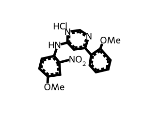 COc1ccc(Nc2cc(-c3ccccc3OC)ncn2)c([N+](=O)[O-])c1.Cl